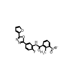 Cc1c(C(=O)Nc2cc(-c3nnc(-c4ccco4)o3)ccc2F)cccc1[N+](=O)[O-]